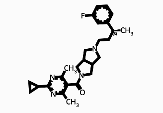 Cc1nc(C2CC2)nc(C)c1C(=O)N1CC2CN(CC[C@H](C)c3cccc(F)c3)CC2C1